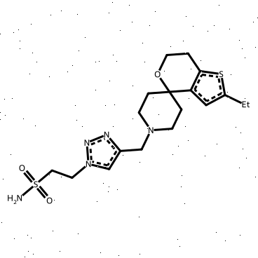 CCc1cc2c(s1)CCOC21CCN(Cc2cn(CCS(N)(=O)=O)nn2)CC1